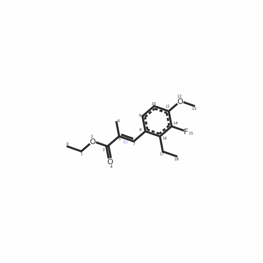 CCOC(=O)/C(C)=C/c1ccc(OC)c(F)c1CC